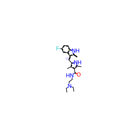 C=c1[nH]c2ccc(F)cc2/c1=C/c1[nH]c(C)c(C(=O)NCCN(CC)CC)c1C